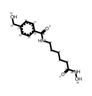 O=C(CCCCCNC(=O)c1ccc(CO)cc1)NO